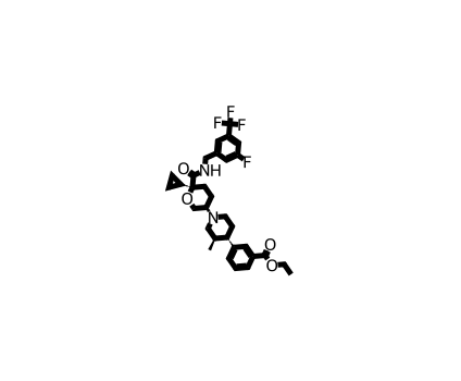 CCOC(=O)c1cccc([C@H]2CCN([C@@H]3CC[C@@](C(=O)NCc4cc(F)cc(C(F)(F)F)c4)(C4CC4)OC3)C[C@@H]2C)c1